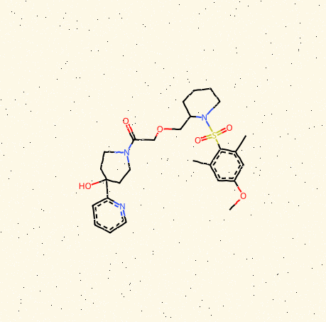 COc1cc(C)c(S(=O)(=O)N2CCCCC2COCC(=O)N2CCC(O)(c3ccccn3)CC2)c(C)c1